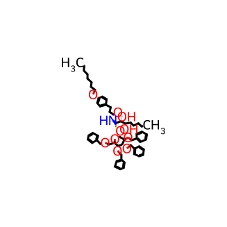 CCCCCCCCOc1ccc(CCC(=O)N[C@@H](COC2OC(COCc3ccccc3)C(OCc3ccccc3)C(OCc3ccccc3)C2OCc2ccccc2)[C@H](O)[C@H](O)CCCCC)cc1